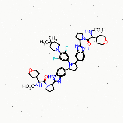 CC1(C)CCN(c2c(F)cc(N3C(c4ccc5[nH]c(C6CCCN6C(=O)C(NC(=O)O)C6CCOCC6)nc5c4)CC[C@H]3c3ccc4[nH]c(C5CCCN5C(=O)[C@@H](NC(=O)O)C5CCOCC5)nc4c3)cc2F)CC1